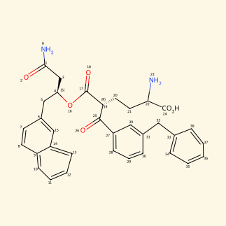 NC(=O)C[C@H](Cc1ccc2ccccc2c1)OC(=O)[C@H](CCC(N)C(=O)O)C(=O)c1cccc(Cc2ccccc2)c1